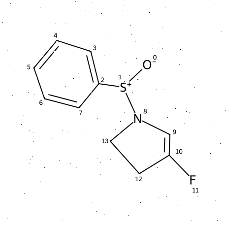 [O-][S+](c1ccccc1)N1C=C(F)CC1